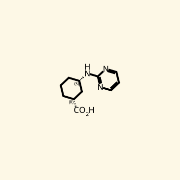 O=C(O)[C@@H]1CCC[C@H](Nc2ncccn2)C1